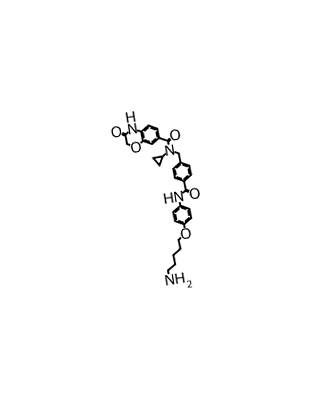 NCCCCCOc1ccc(NC(=O)c2ccc(CN(C(=O)c3ccc4c(c3)OCC(=O)N4)C3CC3)cc2)cc1